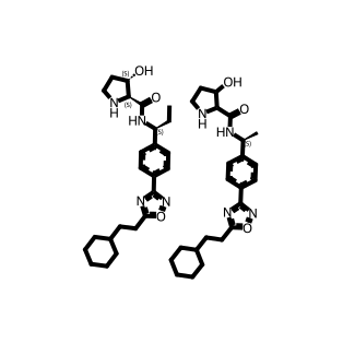 CC[C@H](NC(=O)[C@H]1NCC[C@@H]1O)c1ccc(-c2noc(CCC3CCCCC3)n2)cc1.C[C@H](NC(=O)C1NCCC1O)c1ccc(-c2noc(CCC3CCCCC3)n2)cc1